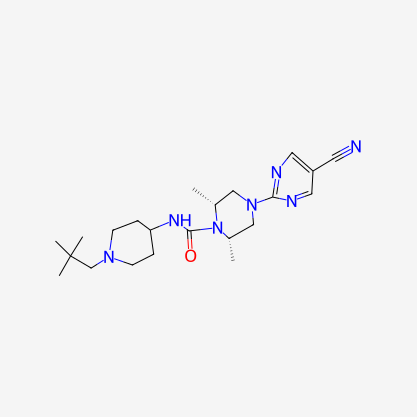 C[C@@H]1CN(c2ncc(C#N)cn2)C[C@H](C)N1C(=O)NC1CCN(CC(C)(C)C)CC1